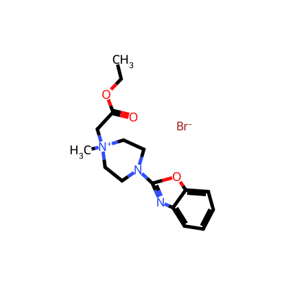 CCOC(=O)C[N+]1(C)CCN(c2nc3ccccc3o2)CC1.[Br-]